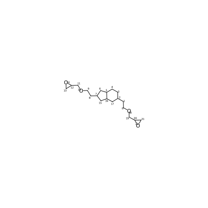 C(CC1CCC2CC(CCOCC3CO3)CC2C1)OCC1CO1